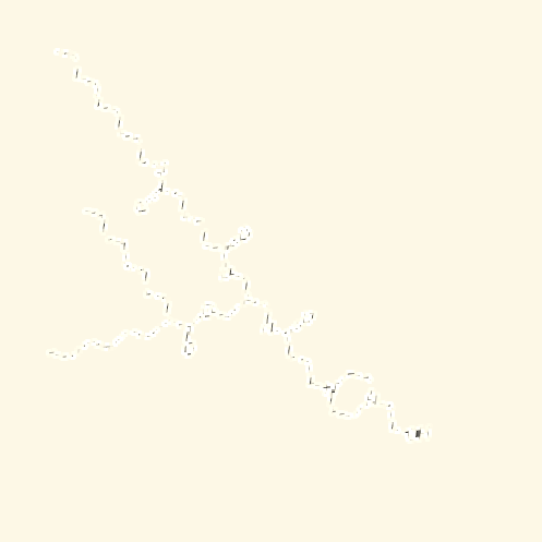 CCCCCCCCCOC(=O)CCCCC(=O)OCC(COC(=O)CCCN1CCN(CCO)CC1)COC(=O)C(CCCCCC)CCCCCCCC